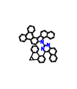 c1ccc2c(c1)-c1c(-c3nc(-n4c5ccc6c7ccccc7c7ccccc7c6c5c5ccc6ccccc6c54)nc4ccc5ccccc5c34)cccc1C1CC21